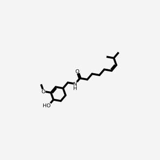 COC1=CC(CNC(=O)CCCC/C=C\C(C)C)CCC1O